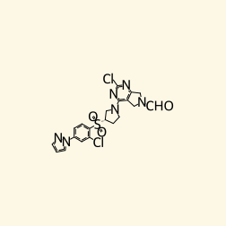 O=CN1Cc2nc(Cl)nc(N3CC[C@H](S(=O)(=O)c4ccc(-n5cccn5)cc4Cl)C3)c2C1